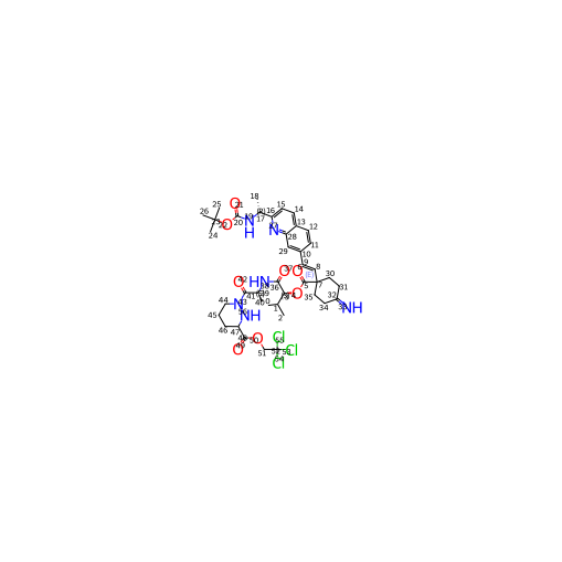 CC(C)[C@H](OC(=O)C1(/C=C/c2ccc3ccc([C@@H](C)NC(=O)OC(C)(C)C)nc3c2)CCC(=N)CC1)C(=O)N[C@@H](C)C(=O)N1CCCC(C(=O)OCC(Cl)(Cl)Cl)N1